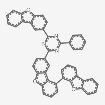 c1ccc(-c2nc(-c3ccc4oc5ccccc5c4c3)nc(-c3ccc4oc5cccc(-c6cccc7c6oc6ccccc67)c5c4c3)n2)cc1